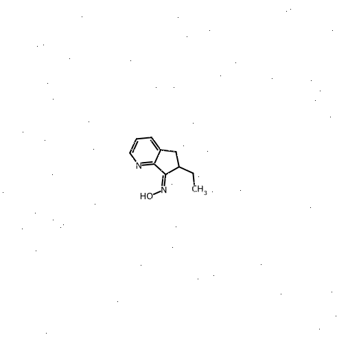 CCC1Cc2cccnc2C1=NO